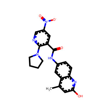 Cc1cc(O)nc2ccc(NC(=O)c3cc([N+](=O)[O-])cnc3N3CCCC3)cc12